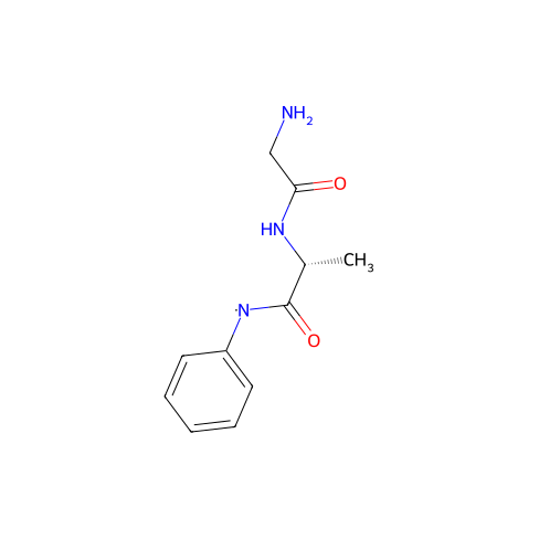 C[C@@H](NC(=O)CN)C(=O)[N]c1ccccc1